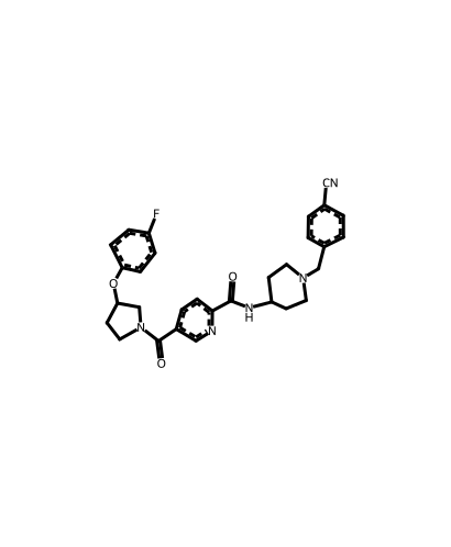 N#Cc1ccc(CN2CCC(NC(=O)c3ccc(C(=O)N4CCC(Oc5ccc(F)cc5)C4)cn3)CC2)cc1